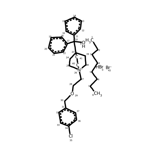 Br.CCCCCCCC.OC(c1ccccc1)(c1ccccc1)C12CC[N+](CCOCc3ccc(Cl)cc3)(CC1)CC2.[Br-]